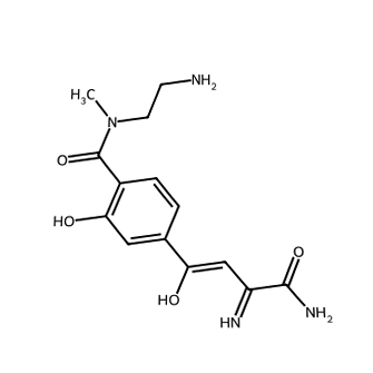 CN(CCN)C(=O)c1ccc(/C(O)=C/C(=N)C(N)=O)cc1O